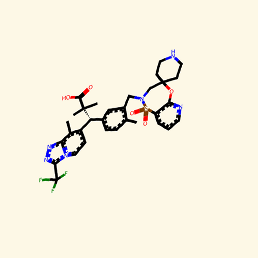 Cc1ccc([C@H](c2ccn3c(C(F)(F)F)nnc3c2C)C(C)(C)C(=O)O)cc1CN1CC2(CCNCC2)Oc2ncccc2S1(=O)=O